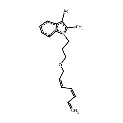 C=C/C=C\C=C/COCCCn1c(C)c(C(C)=O)c2ccccc21